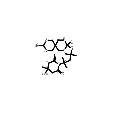 CCC1OCC2(CO1)COC(CC)(OC(C)(C)CC(C)(C)N1C(=O)CC(C)(C(C)C)CC1=O)OC2